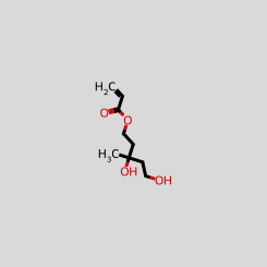 C=CC(=O)OCCC(C)(O)CCO